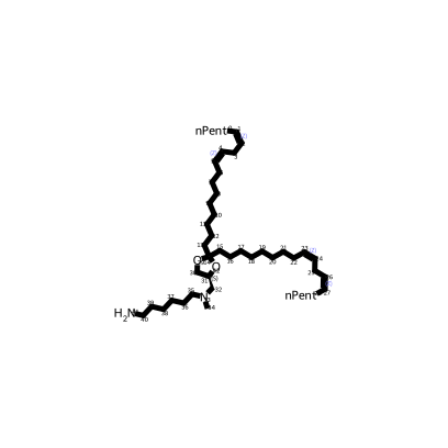 CCCCC/C=C\C/C=C\CCCCCCCCC1(CCCCCCCC/C=C\C/C=C\CCCCC)OC[C@H](CN(C)CCCCCCN)O1